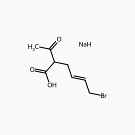 CC(=O)C(CC=CCBr)C(=O)O.[NaH]